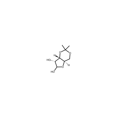 CC1(C)OC[C@H]2OC(O)[C@H](O)[C@@H]2O1